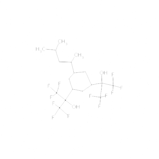 CC(C)CC(C)C1CC(C(O)(C(F)(F)F)C(F)(F)F)CC(C(O)(C(F)(F)F)C(F)(F)F)C1